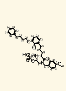 COc1ccc(CN(CCOP(=O)(O)O)C(=O)CCCCc2cccc(OCCCCc3ccccc3)c2Cl)cc1